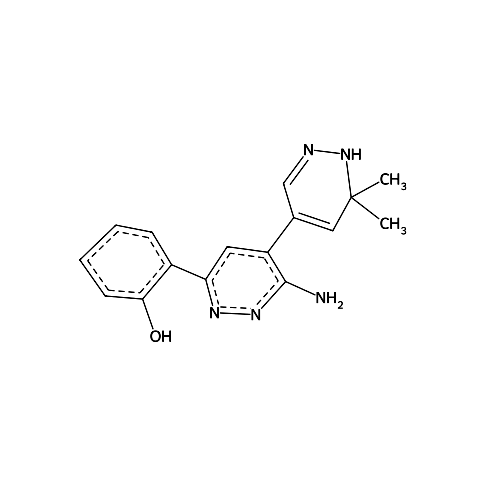 CC1(C)C=C(c2cc(-c3ccccc3O)nnc2N)C=NN1